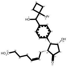 CCCC1(C(O)c2ccc([C@H]3[C@H](O)CC(=O)[C@@H]3C/C=C\CCCC(=O)O)cc2)CCC1